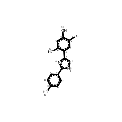 CC(C)c1cc(-c2n[nH]c(-c3ccc(O)cc3)n2)c(O)cc1O